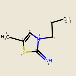 CCCn1cc(C)sc1=N